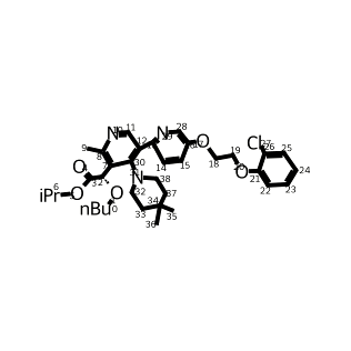 CCCCO[C@H](C(=O)OC(C)C)c1c(C)ncc(-c2ccc(OCCOc3ccccc3Cl)cn2)c1N1CCC(C)(C)CC1